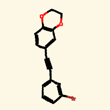 Brc1cccc(C#Cc2ccc3c(c2)OCCO3)c1